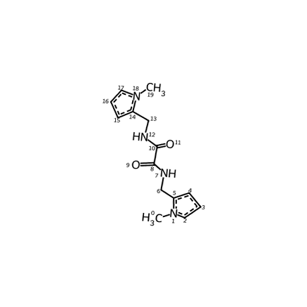 Cn1cccc1CNC(=O)C(=O)NCc1cccn1C